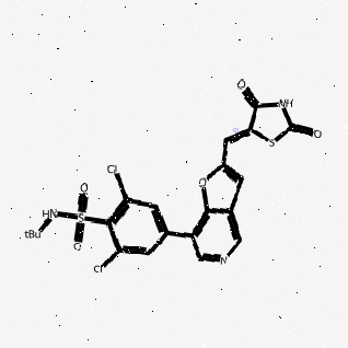 CC(C)(C)NS(=O)(=O)c1c(Cl)cc(-c2cncc3cc(/C=C4\SC(=O)NC4=O)oc23)cc1Cl